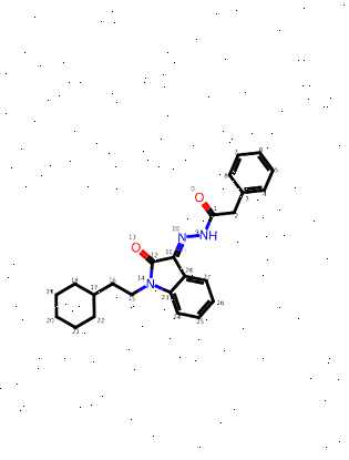 O=C(Cc1ccccc1)N/N=C1/C(=O)N(CCC2CCCCC2)c2ccccc21